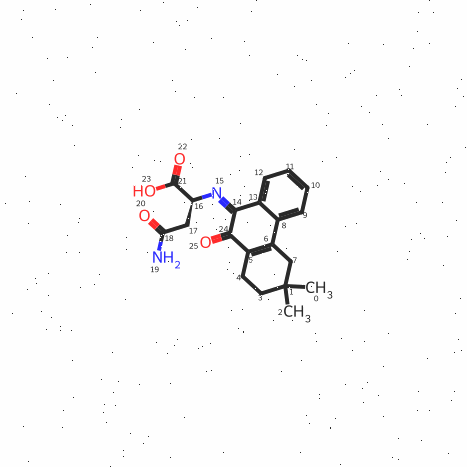 CC1(C)CCC2=C(C1)c1ccccc1/C(=N/[C@@H](CC(N)=O)C(=O)O)C2=O